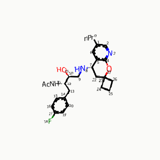 CCCc1cnc2c(c1)[C@@H](NC[C@H](O)[C@H](Cc1ccc(F)cc1)NC(C)=O)CC1(CCC1)O2